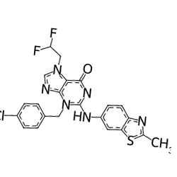 Cc1nc2ccc(Nc3nc(=O)c4c(ncn4CC(F)F)n3Cc3ccc(Cl)cc3)cc2s1